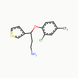 NCCC(Oc1ccc(C(F)(F)F)cc1Cl)c1ccsc1